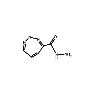 NNC(=O)C1=N[N]N=CC=C1